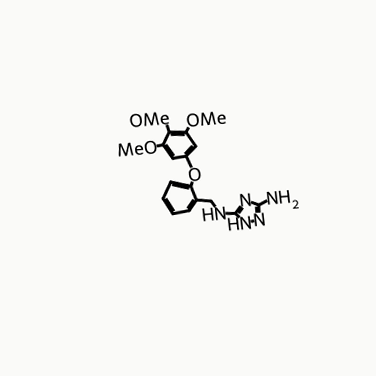 COc1cc(Oc2ccccc2CNc2nc(N)n[nH]2)cc(OC)c1OC